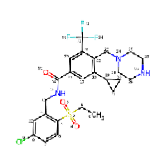 CCS(=O)(=O)c1ccc(Cl)cc1CNC(=O)c1cc(C2CC2)c(CN2CCNCC2)c(C(F)(F)F)c1